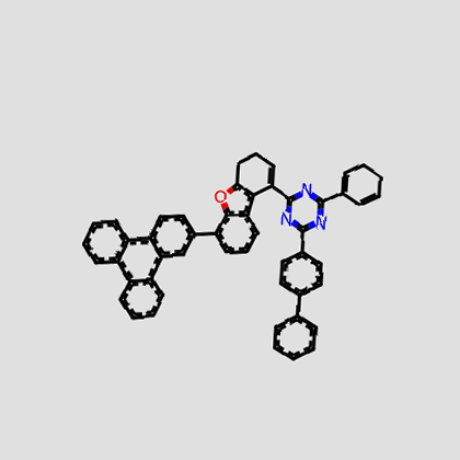 C1=CC(c2nc(C3=CCCc4oc5c(-c6ccc7c8ccccc8c8ccccc8c7c6)cccc5c43)nc(-c3ccc(-c4ccccc4)cc3)n2)=CCC1